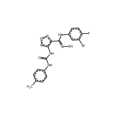 Cc1ccc(NC(=O)Nc2nonc2/C(=N/O)Nc2ccc(F)c(Br)c2)cc1